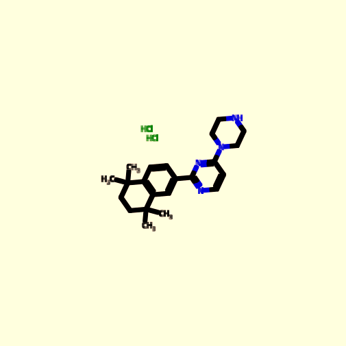 CC1(C)CCC(C)(C)c2cc(-c3nccc(N4CCNCC4)n3)ccc21.Cl.Cl